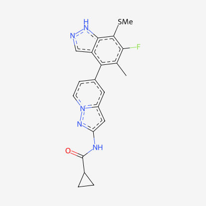 CSc1c(F)c(C)c(-c2ccn3nc(NC(=O)C4CC4)cc3c2)c2cn[nH]c12